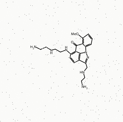 COc1cccc2c1c(=O)c1c(NCCNCCN)ccc3c(CNCCN)nn2c31